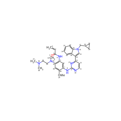 C=CC(=O)Nc1cc(Nc2nccc(-c3cn(CC4CC4)c4ccccc34)n2)c(OC)cc1N(C)CCN(C)C